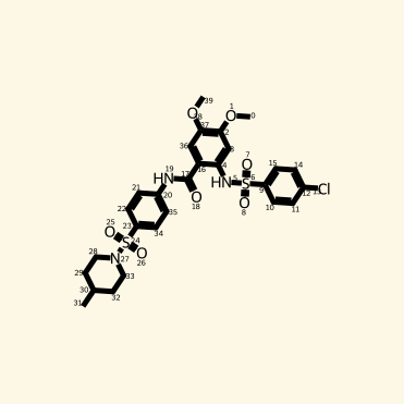 COc1cc(NS(=O)(=O)c2ccc(Cl)cc2)c(C(=O)Nc2ccc(S(=O)(=O)N3CCC(C)CC3)cc2)cc1OC